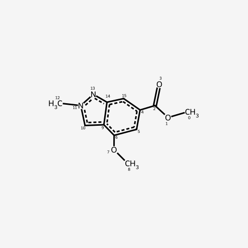 COC(=O)c1cc(OC)c2cn(C)nc2c1